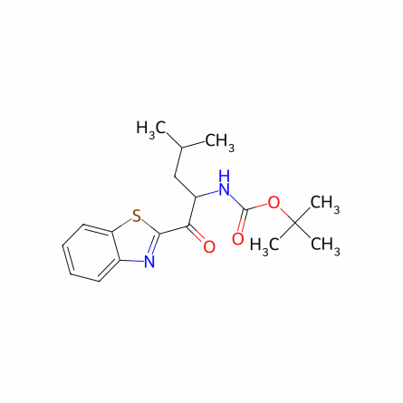 CC(C)CC(NC(=O)OC(C)(C)C)C(=O)c1nc2ccccc2s1